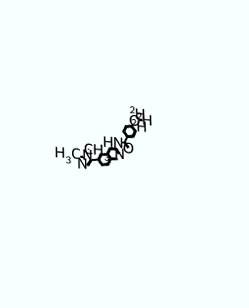 [2H]C([2H])([2H])Oc1ccc(C(=O)Nc2cc3cc(-c4cnc(C)n4C)ccc3cn2)cc1